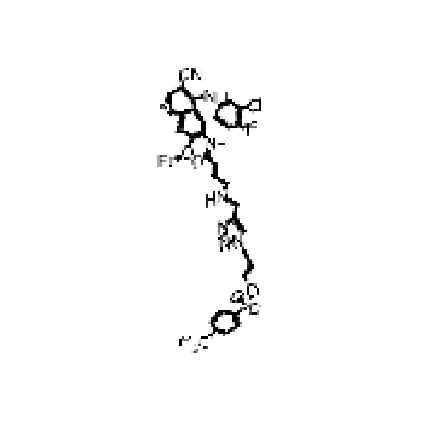 CCOc1cc2ncc(C#N)c(Nc3ccc(F)c(Cl)c3)c2cc1NC(=O)/C=C/CNCc1cn(CCOS(=O)(=O)c2ccc(C)cc2)nn1